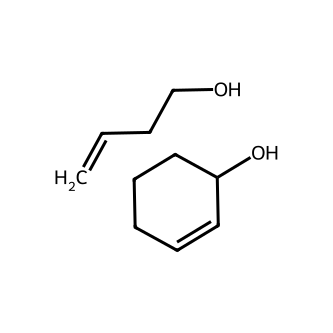 C=CCCO.OC1C=CCCC1